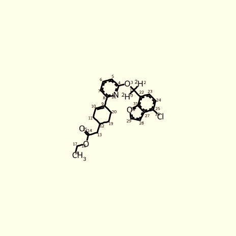 [2H]C([2H])(Oc1cccc(C2=CCC(CC(=O)OCC)CC2)n1)c1ccc(Cl)c2ccoc12